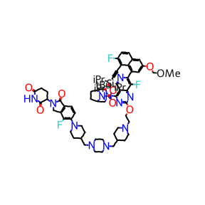 COCOc1cc(-c2ncc3c(N4CC5CCC(C4)N5C(=O)OC(C)(C)C)nc(OCCN4CCC(CN5CCN(CC6CCN(c7ccc8c(c7F)CN(C7CCC(=O)NC7=O)C8=O)CC6)CC5)CC4)nc3c2F)c2c(C#C[Si](C(C)C)(C(C)C)C(C)C)c(F)ccc2c1